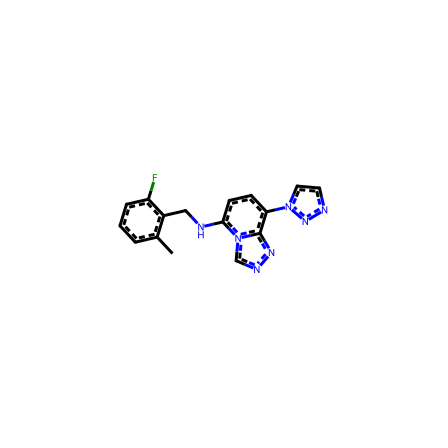 Cc1cccc(F)c1CNc1ccc(-n2ccnn2)c2nncn12